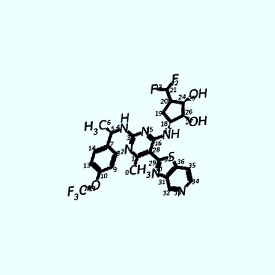 Cc1nc(N[C@H](C)c2ccc(OC(F)(F)F)cc2)nc(N[C@@H]2CC(C(F)F)[C@@H](O)[C@H]2O)c1-c1nc2cnccc2s1